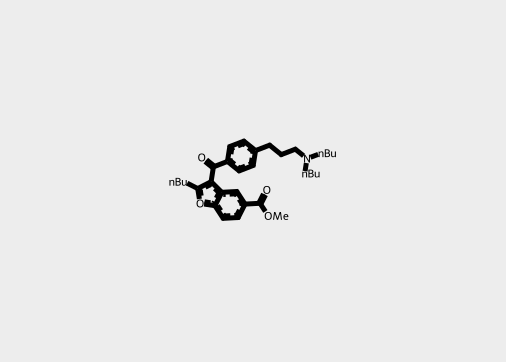 CCCCc1oc2ccc(C(=O)OC)cc2c1C(=O)c1ccc(CCCN(CCCC)CCCC)cc1